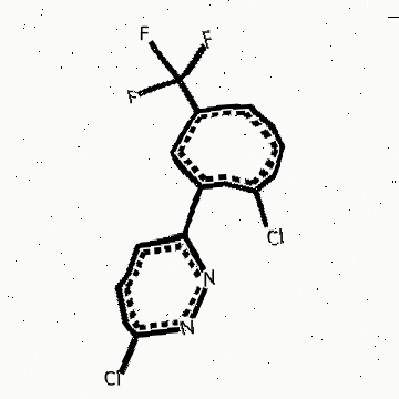 FC(F)(F)c1ccc(Cl)c(-c2ccc(Cl)nn2)c1